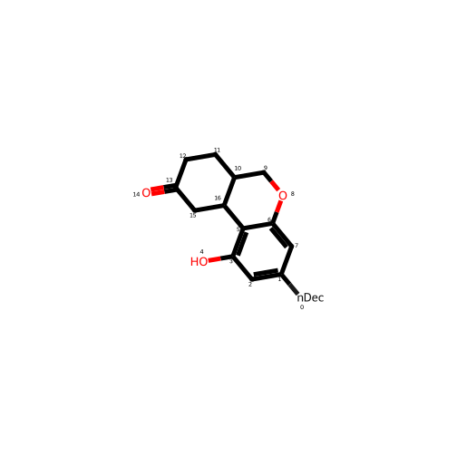 CCCCCCCCCCc1cc(O)c2c(c1)OCC1CCC(=O)CC21